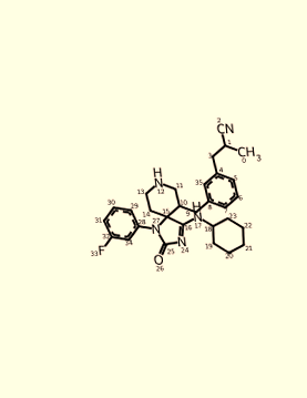 CC(C#N)Cc1cccc(CC2CNCCC23C(NC2CCCCC2)=NC(=O)N3c2cccc(F)c2)c1